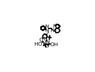 CN(Cc1nc2ccccc2n1C[C@H]1CCCN(C(=NC(=O)O)N(C(=O)O)C(C)(C)C)C1C(C)(C)C)[C@@H]1CCCc2cccnc21